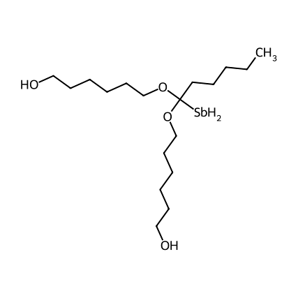 CCCCC[C]([SbH2])(OCCCCCCO)OCCCCCCO